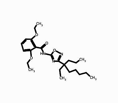 CCCCCC(CC)(CCC)c1noc(NC(=O)c2c(OCC)cccc2OCC)n1